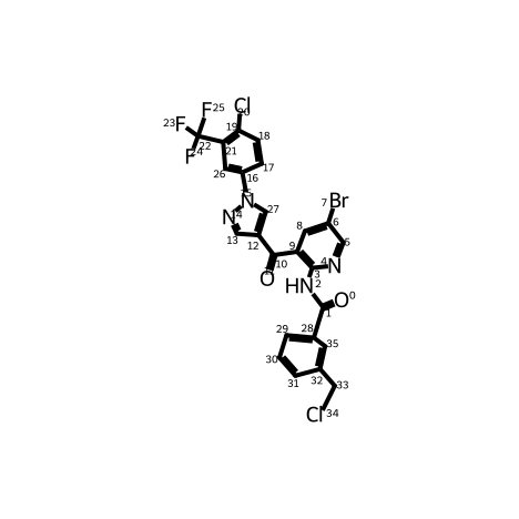 O=C(Nc1ncc(Br)cc1C(=O)c1cnn(-c2ccc(Cl)c(C(F)(F)F)c2)c1)c1cccc(CCl)c1